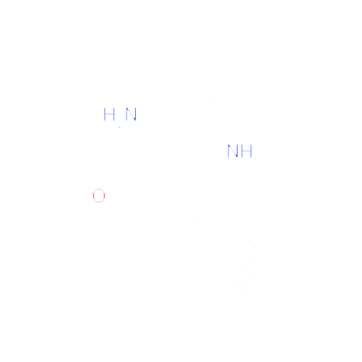 C=C/C=C(\NC=C)C(N)=O